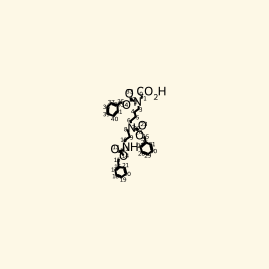 O=C(O)CN(CCCCN(CCCNC(=O)OCc1ccccc1)C(=O)OCc1ccccc1)C(=O)OCc1ccccc1